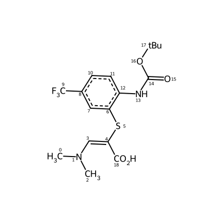 CN(C)C=C(Sc1cc(C(F)(F)F)ccc1NC(=O)OC(C)(C)C)C(=O)O